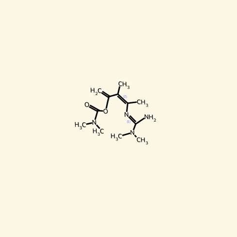 C=C(OC(=O)N(C)C)/C(C)=C(C)\N=C(/N)N(C)C